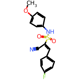 COc1ccc(NS(=O)(=O)/C(C#N)=C/c2ccc(F)cc2)cc1